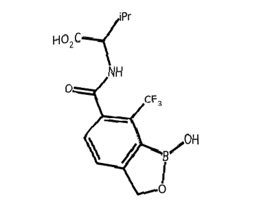 CC(C)C(NC(=O)c1ccc2c(c1C(F)(F)F)B(O)OC2)C(=O)O